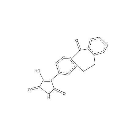 O=C1NC(=O)C(c2ccc3c(c2)CCc2ccccc2C3=O)=C1O